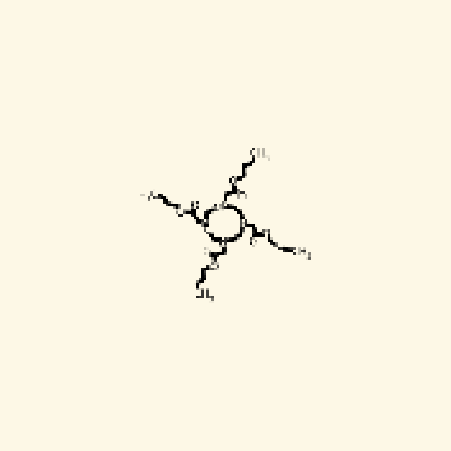 CCCCOC(=O)CN1CCN(CC(=O)OCCCC)CCN(CC(=O)OCCCC)CCN(CC(=O)OCCCC)CC1